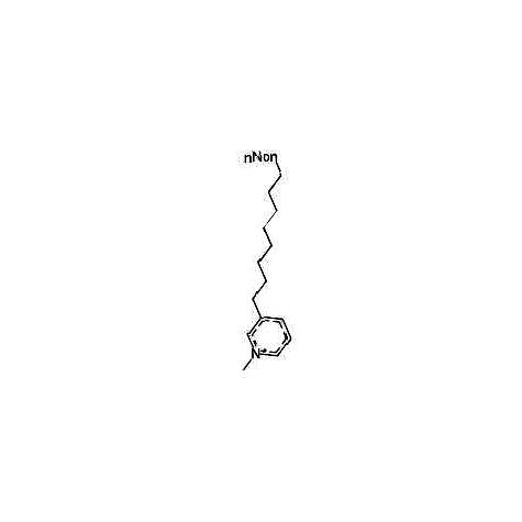 CCCCCCCCCCCCCCCCCc1ccc[n+](C)c1